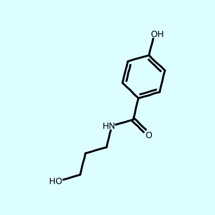 O=C(NCCCO)c1ccc(O)cc1